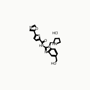 Cl.O=C(Nc1nc2cc(CO)ccc2n1C[C@H]1CCCN1)c1ccc(-c2cnco2)s1